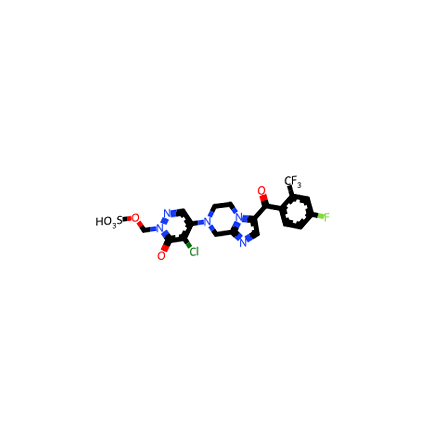 O=C(c1ccc(F)cc1C(F)(F)F)c1cnc2n1CCN(c1cnn(COS(=O)(=O)O)c(=O)c1Cl)C2